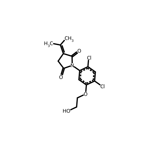 CC(C)=C1CC(=O)N(c2cc(OCCO)c(Cl)cc2Cl)C1=O